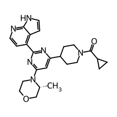 C[C@@H]1COCCN1c1cc(C2CCN(C(=O)C3CC3)CC2)nc(-c2ccnc3[nH]ccc23)n1